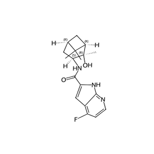 CC1(C)[C@H]2C[C@H](NC(=O)c3cc4c(F)ccnc4[nH]3)[C@](C)(O)[C@@H]1C2